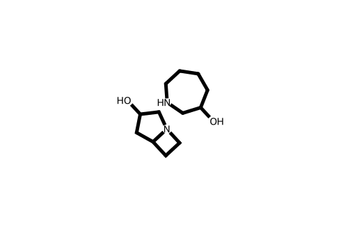 OC1CC2CCN2C1.OC1CCCCNC1